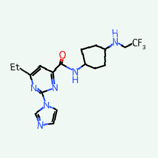 CCc1cc(C(=O)NC2CCC(NCC(F)(F)F)CC2)nc(-n2ccnc2)n1